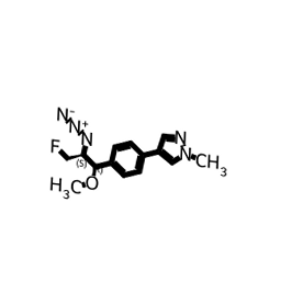 CO[C@H](c1ccc(-c2cnn(C)c2)cc1)[C@@H](CF)N=[N+]=[N-]